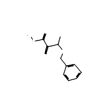 CC(C)NC(=O)C(=O)C(C)OCc1ccccc1